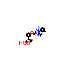 Cc1ccc(F)c(-c2ncc(COc3cccc([C@@H](CC(=O)O)C4CC4)c3)nc2C(C)C)c1